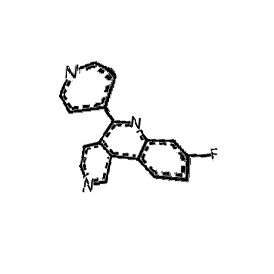 Fc1ccc2c(c1)nc(-c1ccncc1)c1ccncc12